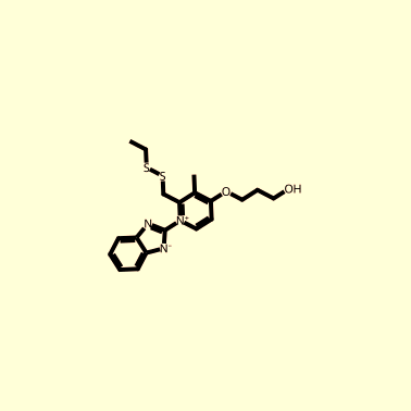 CCSSCc1c(C)c(OCCCO)cc[n+]1-c1nc2ccccc2[n-]1